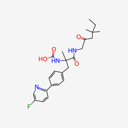 CCC(C)(C)CC(=O)CNC(=O)C(C)(Cc1ccc(-c2ccc(F)cn2)cc1)NC(=O)O